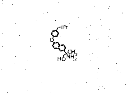 CC(C)Cc1ccc(Oc2ccc3cc(C(C)(N)CO)ccc3c2)cc1